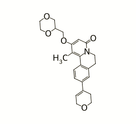 Cc1c(OCC2COCCO2)cc(=O)n2c1-c1ccc(C3=CCOCC3)cc1CC2